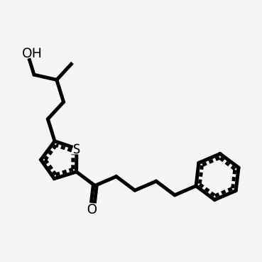 CC(CO)CCc1ccc(C(=O)CCCCc2ccccc2)s1